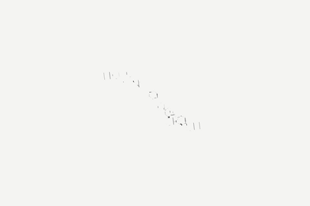 Cc1ccc(-c2ccc(OCc3ccc(C4CCN(CCC(=O)O)CC4)cc3)cc2C(F)(F)F)cc1